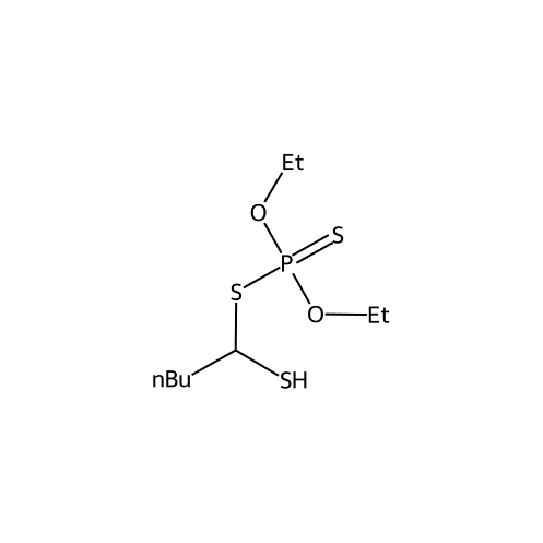 CCCCC(S)SP(=S)(OCC)OCC